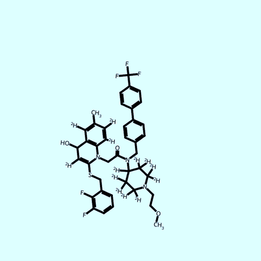 [2H]C1=C(SCc2cccc(F)c2F)N(CC(=O)N(Cc2ccc(-c3ccc(C(F)(F)F)cc3)cc2)C2([2H])C([2H])([2H])C([2H])([2H])N(CCOC)C([2H])([2H])C2([2H])[2H])c2c([2H])c([2H])c(C)c([2H])c2C1O